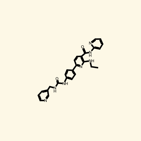 CCNc1nc(-c2ccc(NC(=O)NCc3cccnc3)cc2)ccc1C(=O)Nc1ccccn1